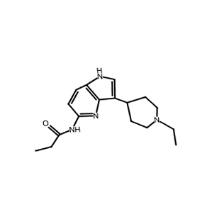 CCC(=O)Nc1ccc2[nH]cc(C3CCN(CC)CC3)c2n1